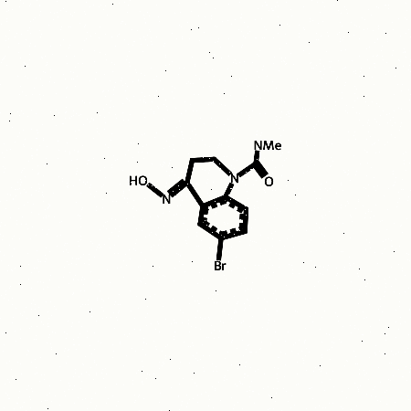 CNC(=O)N1CCC(=NO)c2cc(Br)ccc21